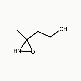 CC1(CCO)NO1